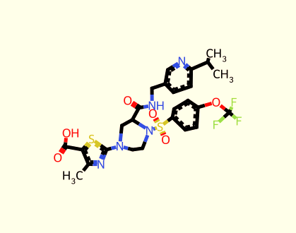 Cc1nc(N2CCN(S(=O)(=O)c3ccc(OC(F)(F)F)cc3)C(C(=O)NCc3ccc(C(C)C)nc3)C2)sc1C(=O)O